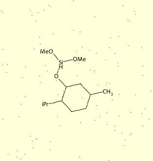 CO[SiH](OC)OC1CC(C)CCC1C(C)C